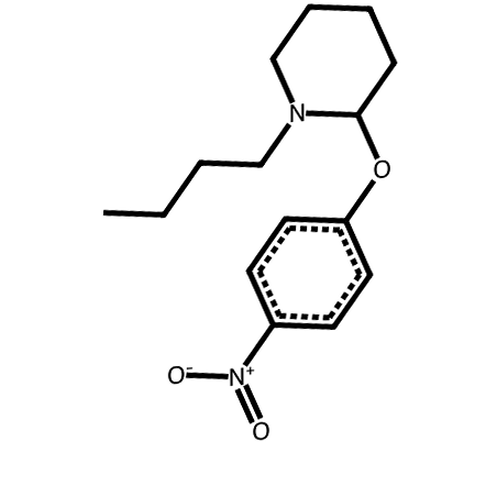 CCCCN1CCCCC1Oc1ccc([N+](=O)[O-])cc1